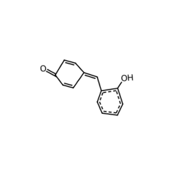 O=C1C=CC(=Cc2ccccc2O)C=C1